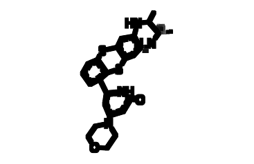 CC(Nc1ccc2c(c1)Sc1cccc(-c3cc(N4CCOCC4)cc(=O)[nH]3)c1S2)[C@H](C)N